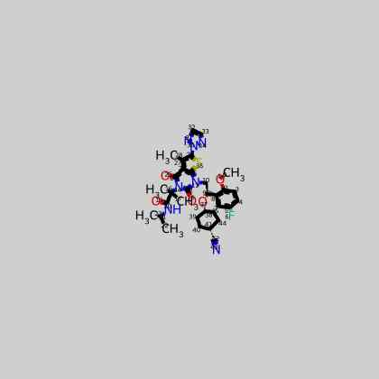 COc1ccc(F)cc1[C@H](Cn1c(=O)n(C(C)(C)C(=O)NC(C)C)c(=O)c2c(C)c(-n3nccn3)sc21)O[C@H]1CC[C@@H](C#N)CC1